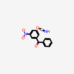 N=C=O.O=C(c1ccccc1)c1cccc([N+](=O)[O-])c1